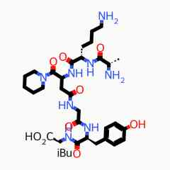 CC[C@H](C)[C@H](NC(=O)[C@H](Cc1ccc(O)cc1)NC(=O)CNC(=O)CC(NC(=O)[C@H](CCCCN)NC(=O)[C@H](C)N)C(=O)N1CCCCC1)C(=O)O